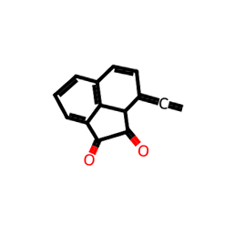 C=C=C1C=Cc2cccc3c2C1C(=O)C3=O